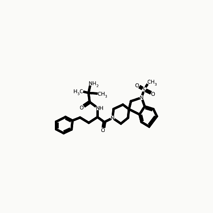 CC(C)(N)C(=O)NC(CCc1ccccc1)C(=O)N1CCC2(CC1)CN(S(C)(=O)=O)c1ccccc12